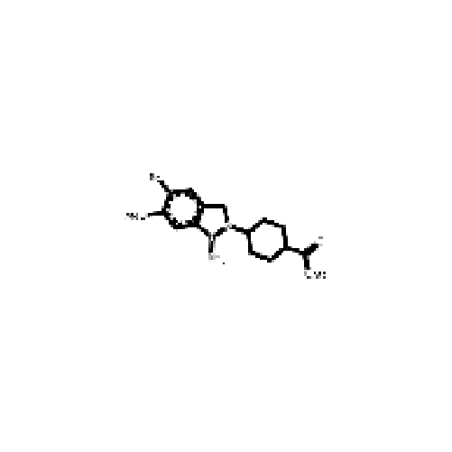 COC(=O)C1CCC(N2Cc3cc(Br)c(OC)cc3N2N)CC1